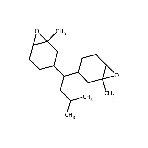 CC(C)CC(C1CCC2OC2(C)C1)C1CCC2OC2(C)C1